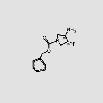 N[C@@H]1CN(C(=O)OCc2ccccc2)C[C@H]1F